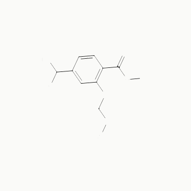 COCOc1cc(C(C)C)ccc1C(=O)OC